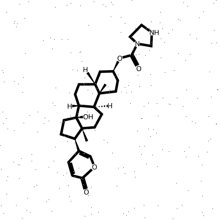 C[C@]12CC[C@H](OC(=O)N3CCNC3)C[C@H]1CC[C@@H]1[C@@H]2CC[C@]2(C)[C@@H](c3ccc(=O)oc3)CC[C@]12O